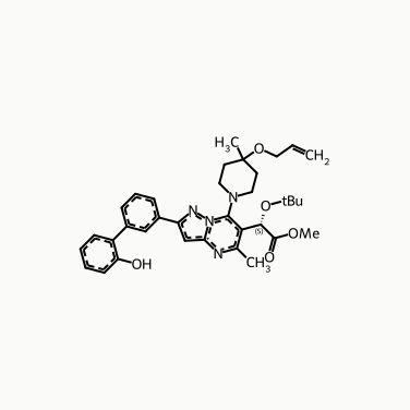 C=CCOC1(C)CCN(c2c([C@H](OC(C)(C)C)C(=O)OC)c(C)nc3cc(-c4cccc(-c5ccccc5O)c4)nn23)CC1